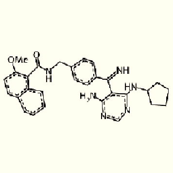 COc1ccc2ccccc2c1C(=O)NCc1ccc(C(=N)c2c(N)ncnc2NC2CCCC2)cc1